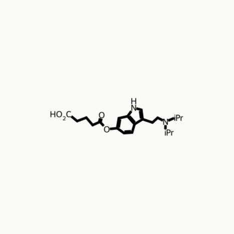 CC(C)N(CCc1c[nH]c2cc(OC(=O)CCCC(=O)O)ccc12)C(C)C